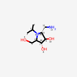 CC(C)N1C(CO)[C@@H](O)C(O)[C@H]1CN